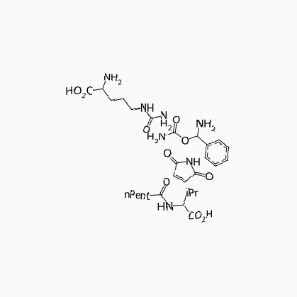 CCCCCC(=O)NC(C(=O)O)C(C)C.NC(=O)NCCCC(N)C(=O)O.NC(=O)OC(N)c1ccccc1.O=C1C=CC(=O)N1